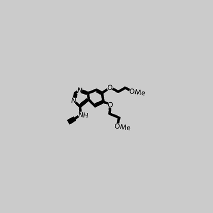 C#CNc1ncnc2cc(OCCOC)c(OCCOC)cc12